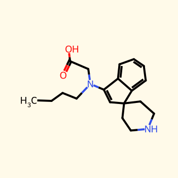 CCCCN(CC(=O)O)C1=CC2(CCNCC2)c2ccccc21